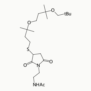 CC(=O)NCCN1C(=O)CC(SCCC(C)(C)OCCC(C)(C)OCC(C)(C)C)C1=O